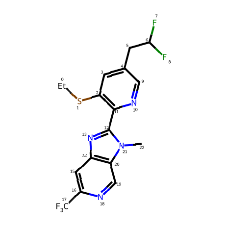 CCSc1cc(CC(F)F)cnc1-c1nc2cc(C(F)(F)F)ncc2n1C